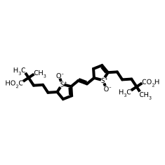 CC(C)(CCCC1=CCC(C=CC2=CCC(CCCC(C)(C)C(=O)O)[S+]2[O-])[S+]1[O-])C(=O)O